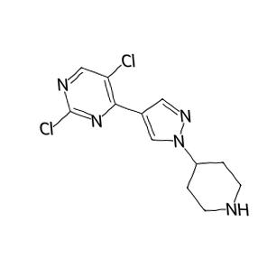 Clc1ncc(Cl)c(-c2cnn(C3CCNCC3)c2)n1